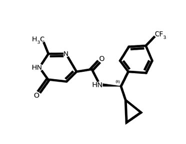 Cc1nc(C(=O)N[C@@H](c2ccc(C(F)(F)F)cc2)C2CC2)cc(=O)[nH]1